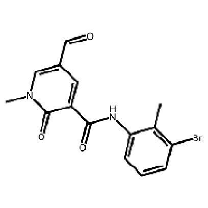 Cc1c(Br)cccc1NC(=O)c1cc(C=O)cn(C)c1=O